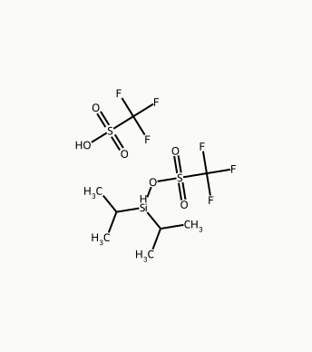 CC(C)[SiH](OS(=O)(=O)C(F)(F)F)C(C)C.O=S(=O)(O)C(F)(F)F